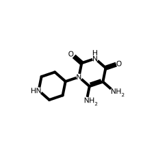 Nc1c(N)n(C2CCNCC2)c(=O)[nH]c1=O